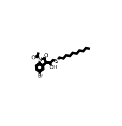 CCCCCCCCCCSCC(O)=C1C(=O)N(C(C)=O)c2ccc(Br)cc21